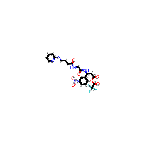 O=C(CCCNc1ccccn1)NCC(=O)NC(CC(=O)OC(=O)C(F)(F)F)c1cccc([N+](=O)[O-])c1